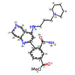 COC(=O)c1ccc(-c2cc(NCCCN3CCCCC3)c3cnccc3n2)c(C(N)=O)c1